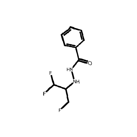 O=C(NNC(CF)C(F)F)c1ccccc1